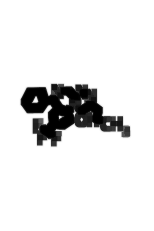 CCCC1=NN=C2CN=C(c3ccccc3)c3cc(C(F)(F)F)ccc3N2C1O